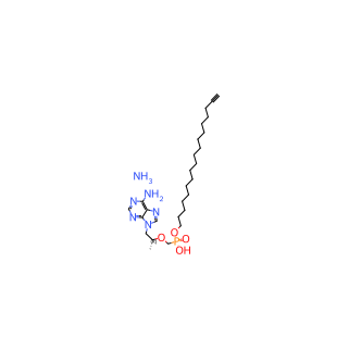 C#CCCCCCCCCCCCCCCCCOP(=O)(O)CO[C@H](C)Cn1cnc2c(N)ncnc21.N